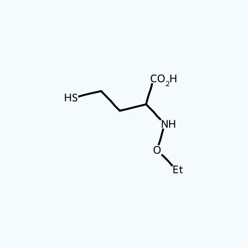 CCONC(CCS)C(=O)O